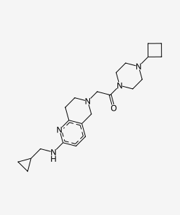 O=C(CN1CCc2nc(NCC3CC3)ccc2C1)N1CCN(C2CCC2)CC1